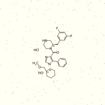 COC[C@]1(O)CCCC[C@H]1n1cnc(C(=O)N2CCNC[C@H]2Cc2cc(F)cc(F)c2)c1-c1ccccc1.Cl